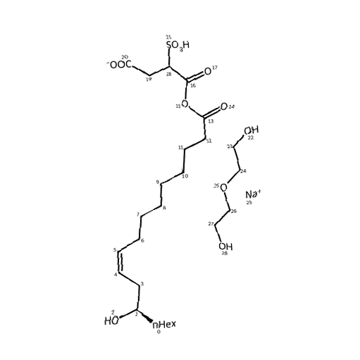 CCCCCC[C@@H](O)C/C=C\CCCCCCCC(=O)OC(=O)C(CC(=O)[O-])S(=O)(=O)O.OCCOCCO.[Na+]